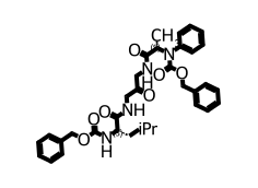 CC(C)C[C@H](NC(=O)OCc1ccccc1)C(=O)NCC(=O)CNC(=O)[C@H](C)N(C(=O)OCc1ccccc1)c1ccccc1